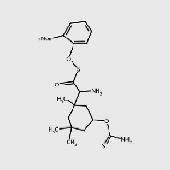 CCCCCCCCCc1ccccc1OSC(=O)C(N)C1(C)CC(OC(N)=S)CC(C)(C)C1